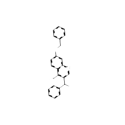 OC(c1ccccc1)c1cnc2cc(OCc3ccccc3)ccc2c1Cl